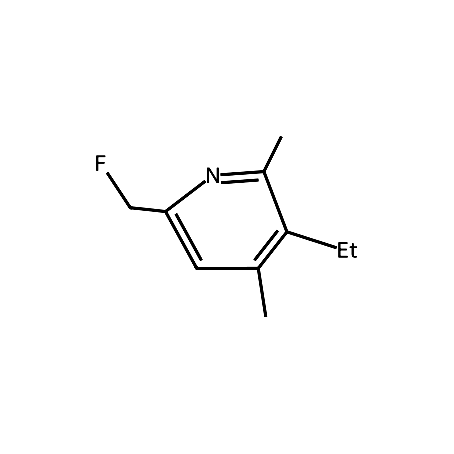 CCc1c(C)cc(CF)nc1C